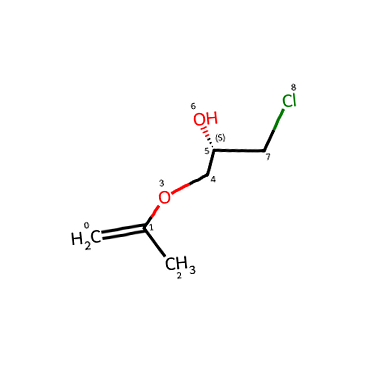 C=C(C)OC[C@H](O)CCl